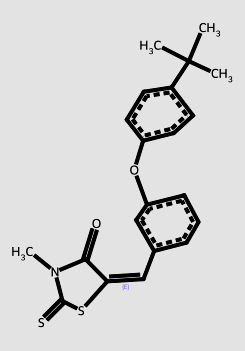 CN1C(=O)/C(=C\c2cccc(Oc3ccc(C(C)(C)C)cc3)c2)SC1=S